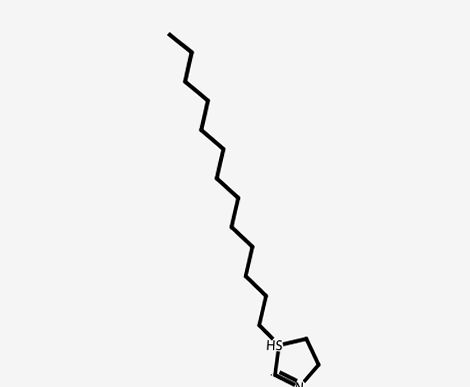 CCCCCCCCCCCCC[SH]1[C]=NCC1